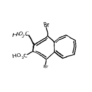 O=C(O)c1c(C(=O)O)c(Br)c2ccccc2c1Br